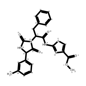 COC(=O)c1csc(NC(=O)C(Cc2ccccc2)N2C(=O)NC(c3cccc(C)c3)C2=O)n1